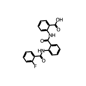 O=C(Nc1ccccc1C(=O)Nc1ccccc1C(=O)O)c1ccccc1F